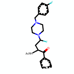 CC(=O)NC(CC(F)N1CCN(Cc2ccc(F)cc2)CC1)C(=O)c1ccccc1